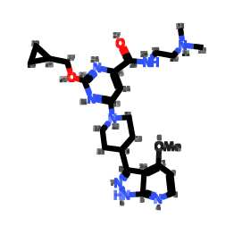 COc1ccnc2[nH]nc(C3CCN(c4cc(C(=O)NCCN(C)C)nc(OCC5CC5)n4)CC3)c12